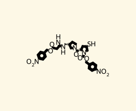 N=C(CC(=O)OCc1ccc([N+](=O)[O-])cc1)NC[C@@H]1CCN(C(=O)[C@@H]2C[C@H](S)CN2C(=O)OCc2ccc([N+](=O)[O-])cc2)C1